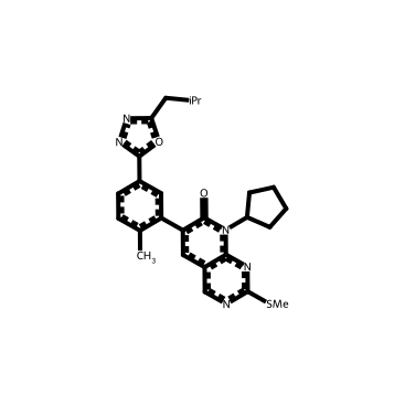 CSc1ncc2cc(-c3cc(-c4nnc(CC(C)C)o4)ccc3C)c(=O)n(C3CCCC3)c2n1